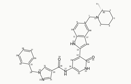 C[C@@H]1CCCCN1Cc1ccc2[nH]c(-c3cc(NC(=O)c4cnn(Cc5ccccc5)c4)c[nH]c3=O)cc2c1